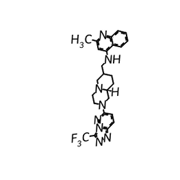 Cc1cc(NCC2CC[C@@H]3CN(c4ccc5nnc(C(F)(F)F)n5n4)CCN3C2)c2ccccc2n1